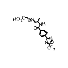 CC(C=NOCC(=O)O)NC(=O)c1ccc(-c2noc(C(F)(F)F)n2)cc1